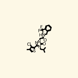 Cc1csc(-c2nn(CC(=O)NCc3ccccc3C(F)(F)F)c(=O)n2CC(C)C)c1Cl